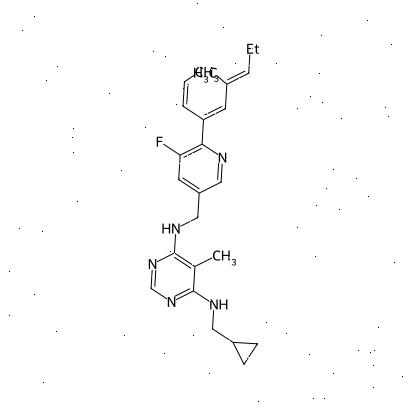 C\C=C/C(=C\C(C)=C\CC)c1ncc(CNc2ncnc(NCC3CC3)c2C)cc1F